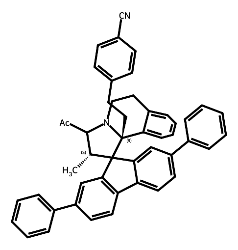 CC(=O)C1[C@@H](C)C2(c3cc(-c4ccccc4)ccc3-c3ccc(-c4ccccc4)cc32)[C@@]2(CCc3ccc(C#N)cc3)c3ccccc3CCN12